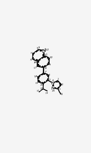 Cc1ccn(-c2cc(-c3ccc4ncccc4c3)ccc2C(C)C)n1